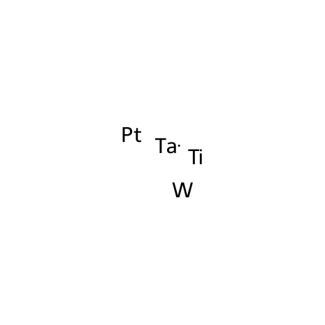 [Pt].[Ta].[Ti].[W]